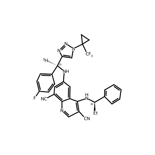 [2H][C@](Nc1cc(C#N)c2ncc(C#N)c(N[C@H](CC)c3ccccc3)c2c1)(c1ccc(F)cc1)c1cn(C2(C(F)(F)F)CC2)nn1